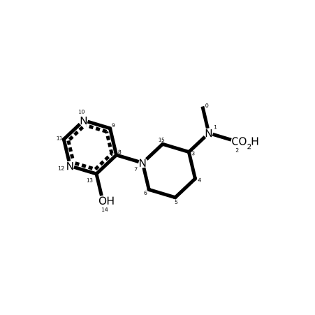 CN(C(=O)O)C1CCCN(c2cncnc2O)C1